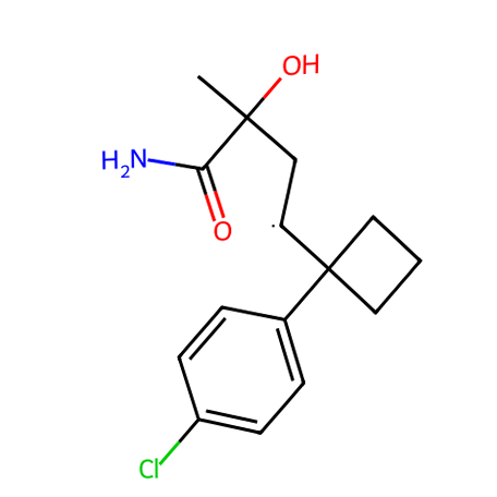 CC(O)(C[CH]C1(c2ccc(Cl)cc2)CCC1)C(N)=O